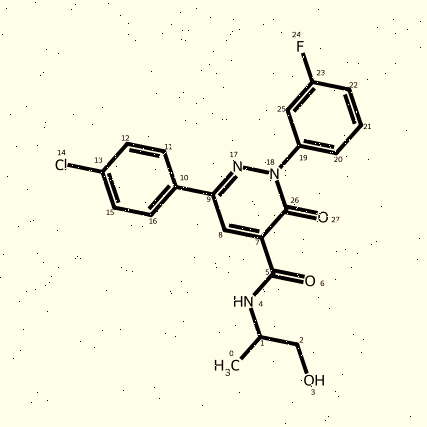 CC(CO)NC(=O)c1cc(-c2ccc(Cl)cc2)nn(-c2cccc(F)c2)c1=O